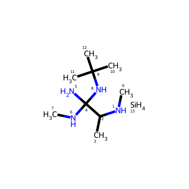 CNC(C)C(N)(NC)NC(C)(C)C.[SiH4]